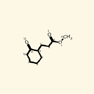 COC(=O)CCC1CCCCC1=O